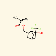 C=C(C)C(=O)OCC1CC2CC1C(O)(C(F)(F)F)C2